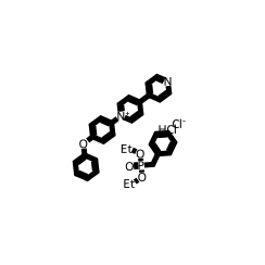 CCOP(=O)(Cc1ccccc1)OCC.Cl.[Cl-].c1ccc(Oc2ccc(-[n+]3ccc(-c4ccncc4)cc3)cc2)cc1